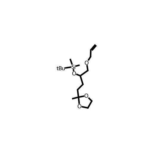 C=CCOCC(CCC1(C)OCCO1)O[Si](C)(C)C(C)(C)C